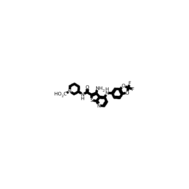 Nc1c(C(=O)NC2CCCN(C(=O)O)C2)sc2nccc(Nc3ccc4c(c3)OC(F)(F)O4)c12